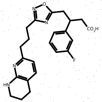 O=C(O)CC(Cc1nc(CCCc2ccc3c(n2)NCCC3)no1)c1cccc(F)c1